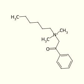 CCCCCC[N+](C)(C)CC(=O)c1ccccc1